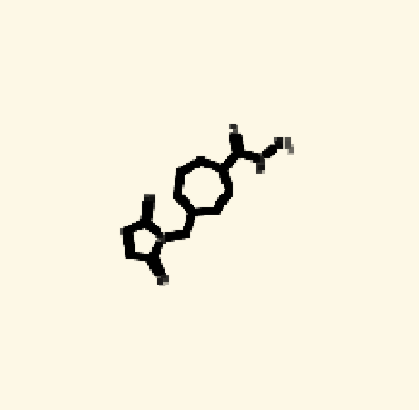 NNC(=O)C1CCCC(CN2C(=O)C=CC2=O)CC1